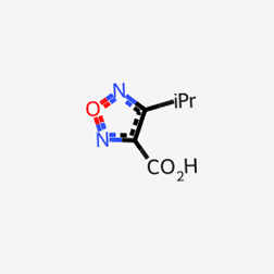 CC(C)c1nonc1C(=O)O